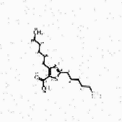 CCCCCCc1nc(CCCCCC)c(C(=O)O)s1